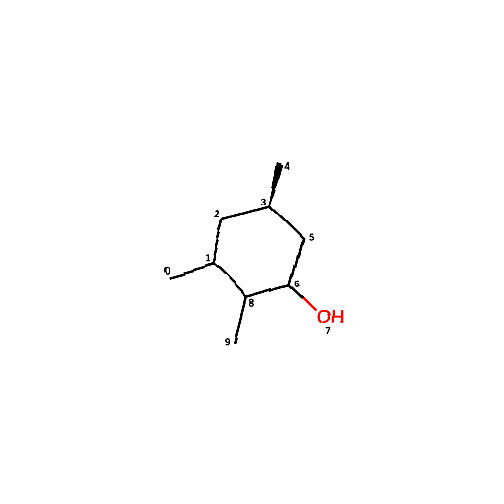 CC1C[C@@H](C)CC(O)C1C